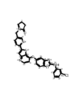 O=C1CCCN1Cc1ccc(-c2cc3nccc(Oc4ccc5oc(Nc6cccc(Cl)c6)nc5c4)c3s2)nc1